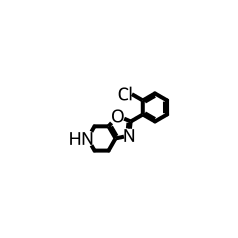 Clc1ccccc1-c1nc2c(o1)CNCC2